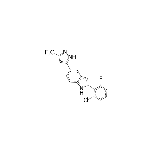 Fc1cccc(Cl)c1-c1cc2cc(-c3cc(C(F)(F)F)n[nH]3)ccc2[nH]1